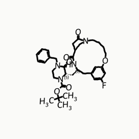 CC(C)(C)OC(=O)N1CCN(Cc2ccccc2)C(=O)[C@@H]1C[C@@H]1Cc2cc(F)cc(c2)OCCCCN2CC(CC2=O)C(=O)N1